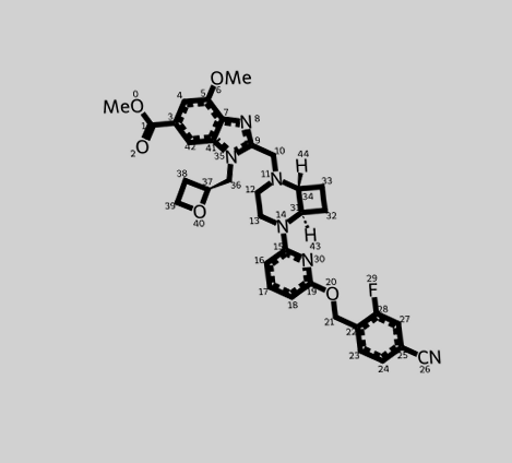 COC(=O)c1cc(OC)c2nc(CN3CCN(c4cccc(OCc5ccc(C#N)cc5F)n4)[C@@H]4CC[C@H]43)n(C[C@@H]3CCO3)c2c1